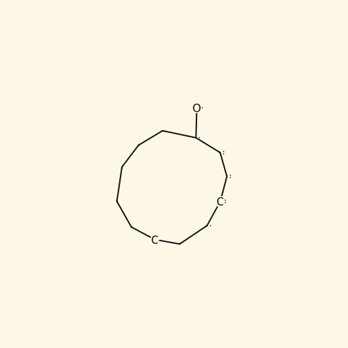 [O][C]1[C][C][C][CH]CCCCCCC1